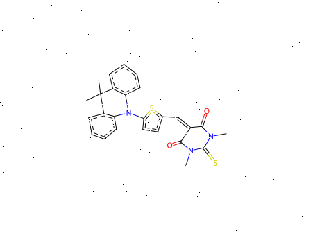 CN1C(=O)C(=Cc2ccc(N3c4ccccc4C(C)(C)c4ccccc43)s2)C(=O)N(C)C1=S